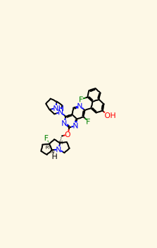 Oc1cc(-c2ncc3c(N4CC5CCC(C4)N5)nc(OC[C@]45CCCN4[C@H]4CCC[C@@]4(F)C5)nc3c2F)c2c(F)cccc2c1